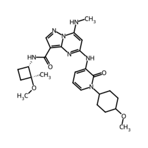 CNc1cc(Nc2cccn(C3CCC(OC)CC3)c2=O)nc2c(C(=O)N[C@H]3CC[C@]3(C)OC)cnn12